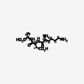 CC(C)[C@H](NC(=O)[C@H](CC(=O)O)NC(=O)[C@@H](N)CCCCN)C(=O)O